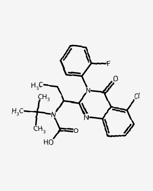 CCC(c1nc2cccc(Cl)c2c(=O)n1-c1ccccc1F)N(C(=O)O)C(C)(C)C